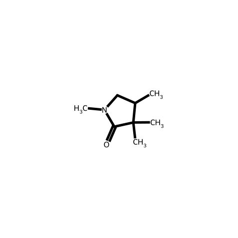 CC1CN(C)C(=O)C1(C)C